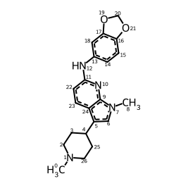 CN1CCC(c2cn(C)c3nc(Nc4ccc5c(c4)OCO5)ccc23)CC1